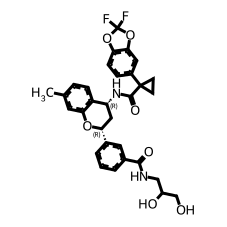 Cc1ccc2c(c1)O[C@@H](c1cccc(C(=O)NCC(O)CO)c1)C[C@H]2NC(=O)C1(c2ccc3c(c2)OC(F)(F)O3)CC1